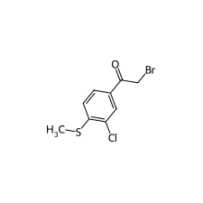 CSc1ccc(C(=O)CBr)cc1Cl